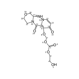 O=C(OCCO)OCOc1c2n(ccc1=O)NC1COCCN1C2=O